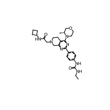 CCNC(=O)Nc1ccc(-c2nc3c(c(N4CCOC[C@@H]4C)n2)CCN(CC(=O)NC2CCC2)C3)cc1